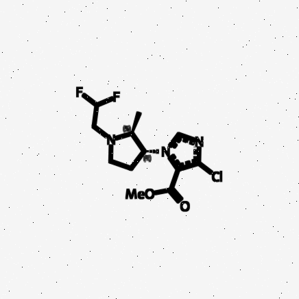 COC(=O)c1c(Cl)ncn1[C@@H]1CCN(CC(F)F)[C@H]1C